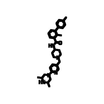 Cc1ccc(-c2cccc(C(=O)NC3CCN(Cc4ccc(N5CC(C)NC(C)C5)nc4)CC3)c2C)cc1